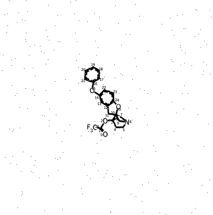 O=C(OC12CCN(CC1)CC21Cc2cc(Oc3ccccc3)ccc2O1)C(F)(F)F